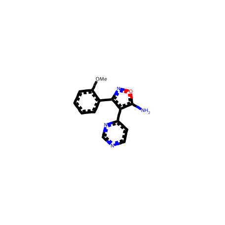 COc1ccccc1-c1noc(N)c1-c1ccncn1